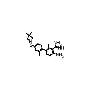 Cc1cc(SN2CC(C)(C)C2)ccc1-c1ccc(N)c(C(=N)N)c1C